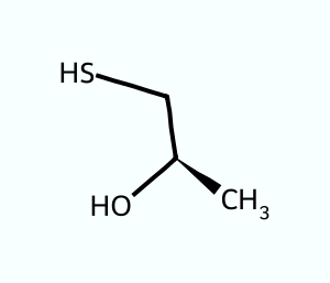 C[C@@H](O)CS